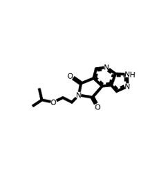 CC(C)OCCN1C(=O)c2cnc3[nH]ncc3c2C1=O